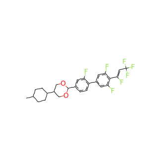 CC1CCC(C2COC(c3ccc(-c4cc(F)c(/C(F)=C/C(F)(F)F)c(F)c4)c(F)c3)OC2)CC1